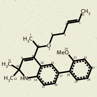 CC=CCCOC(C)C1=CC(C)(C)Nc2ccc(-c3ccccc3OC)cc21